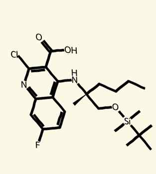 CCCC[C@](C)(CO[Si](C)(C)C(C)(C)C)Nc1c(C(=O)O)c(Cl)nc2cc(F)ccc12